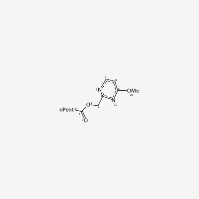 CCCCCC(=O)OCc1nccc(OC)n1